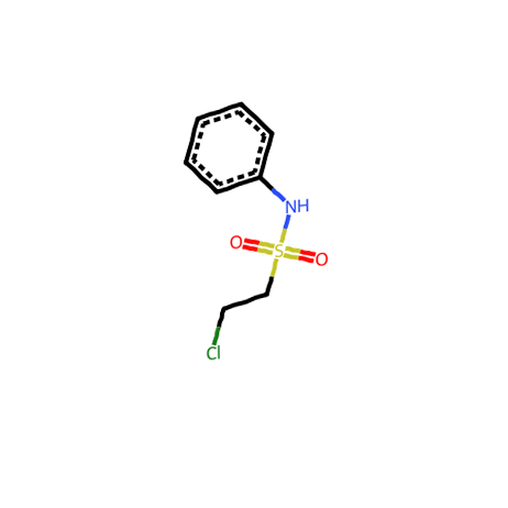 O=S(=O)(CCCl)Nc1ccccc1